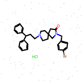 Cl.O=C1CC2(CCN(CCC(c3ccccc3)c3ccccc3)CC2)CN1Cc1ccc(Br)cc1